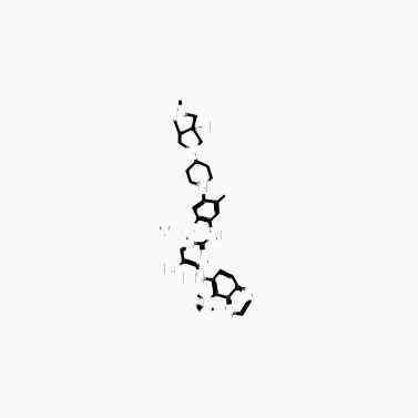 COc1cc(N2CCC(N3CC4CN(C)C[C@@H]4C3)CC2)c(C)cc1Nc1ncc(Br)c(Nc2ccc3nccnc3c2P(C)(C)=O)n1